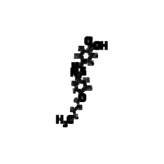 CCCCCOc1ccc(-c2nnc(-c3ccc(C(=O)O)cc3)s2)cc1